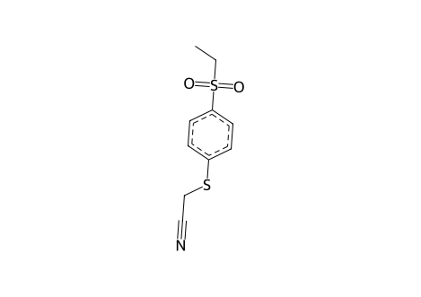 CCS(=O)(=O)c1ccc(SCC#N)cc1